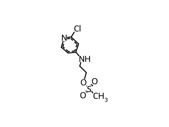 CS(=O)(=O)OCCNc1ccnc(Cl)c1